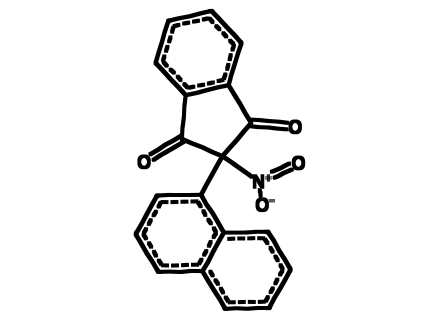 O=C1c2ccccc2C(=O)C1(c1cccc2ccccc12)[N+](=O)[O-]